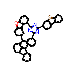 c1ccc(-c2nc(-c3ccc4c(c3)sc3ccccc34)nc(-c3cccc4oc5ccc(-c6ccc7c8c(cccc68)-c6ccccc6-7)cc5c34)n2)cc1